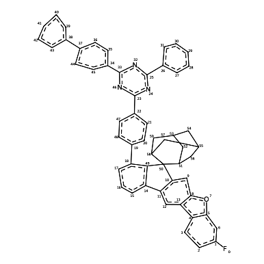 Fc1ccc2c(c1)oc1cc3c(cc12)-c1cccc(-c2ccc(-c4nc(-c5ccccc5)nc(-c5ccc(-c6ccccc6)cc5)n4)cc2)c1C31C2CC3CC(C2)CC1C3